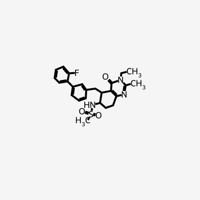 CCn1c(C)nc2c(c1=O)C(Cc1cccc(-c3ccccc3F)c1)C(NS(C)(=O)=O)CC2